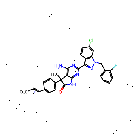 CC1(c2ccc(/C=C/C(=O)O)cc2)C(=O)Nc2nc(-c3nn(Cc4ccccc4F)c4cc(Cl)ccc34)nc(N)c21